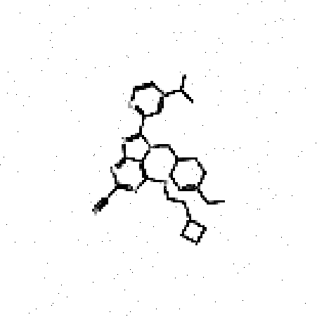 CCC1=CCC(Cn2c(-c3cc(C(C)C)ccn3)nc3nc(C#N)nc(NCCC4CCC4)c32)CC1